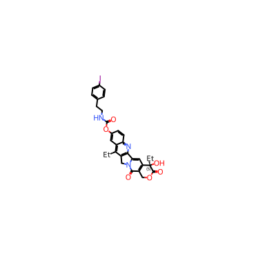 CCc1c2c(nc3ccc(OC(=O)NCCc4ccc(I)cc4)cc13)-c1cc3c(c(=O)n1C2)COC(=O)[C@]3(O)CC